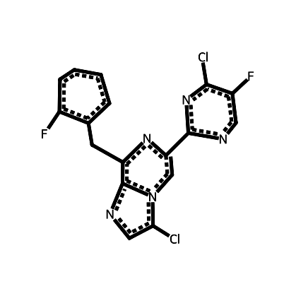 Fc1ccccc1Cc1nc(-c2ncc(F)c(Cl)n2)cn2c(Cl)cnc12